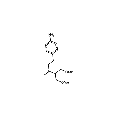 COCC(COC)N(C)CCc1ccc(N)cc1